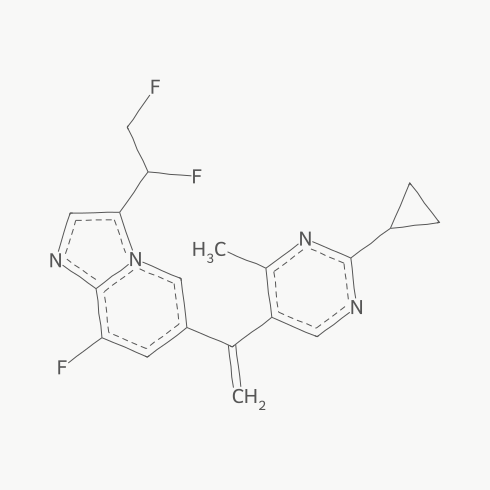 C=C(c1cc(F)c2ncc(C(F)CF)n2c1)c1cnc(C2CC2)nc1C